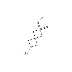 CN=S1(=O)CC2(CN(C(C)(C)C)C2)C1